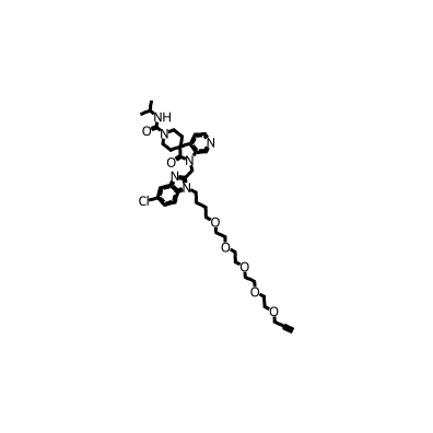 C#CCOCCOCCOCCOCCOCCCCn1c(CN2C(=O)C3(CCN(C(=O)NC(C)C)CC3)c3ccncc32)nc2cc(Cl)ccc21